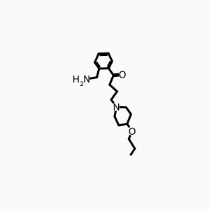 CCCOC1CCN(CCCC(=O)c2ccccc2CN)CC1